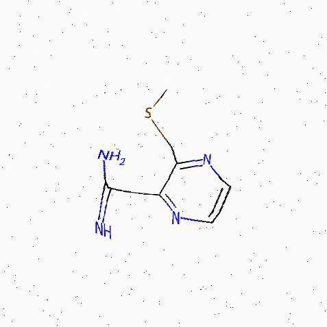 CSc1nccnc1C(=N)N